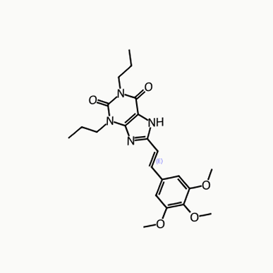 CCCn1c(=O)c2[nH]c(/C=C/c3cc(OC)c(OC)c(OC)c3)nc2n(CCC)c1=O